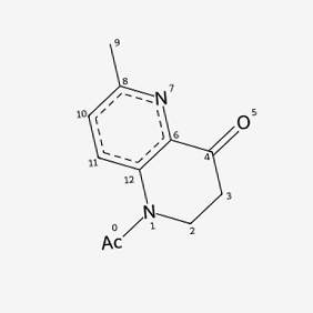 CC(=O)N1CCC(=O)c2nc(C)ccc21